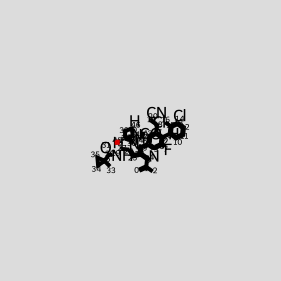 C=C(C)c1nc2c(F)c(-c3cccc(Cl)c3Cl)c(CCC#N)cc2c2c1cc([C@@H](C)NC(=O)C1(C)CC1)n2[C@H]1[C@@H]2C[C@H]1N(C(=O)O)C2